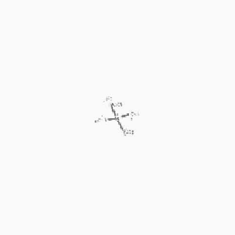 CCCCCCCC[N+](CCCCCCCC)(CCCCCCCC)CCCCCCCC.[F-]